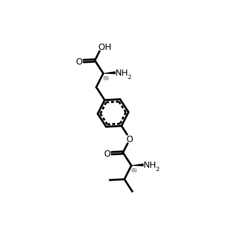 CC(C)[C@H](N)C(=O)Oc1ccc(C[C@H](N)C(=O)O)cc1